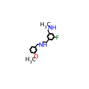 CNCc1cc(F)cc(CCNCc2cccc(OC)c2)c1